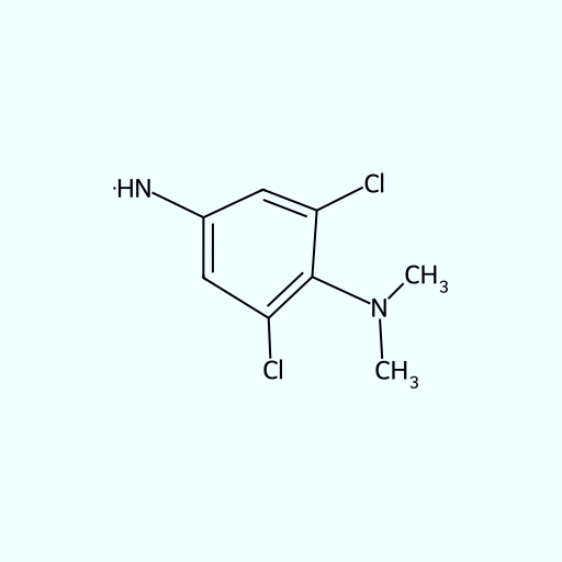 CN(C)c1c(Cl)cc([NH])cc1Cl